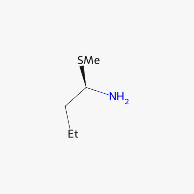 CCC[C@H](N)SC